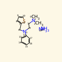 CN(C)CCN(Cc1cccs1)c1ccccc1.N.N